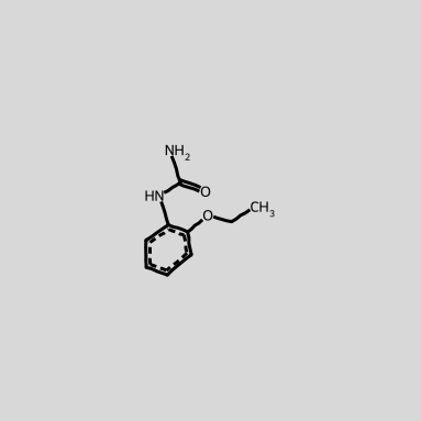 CCOc1ccccc1NC(N)=O